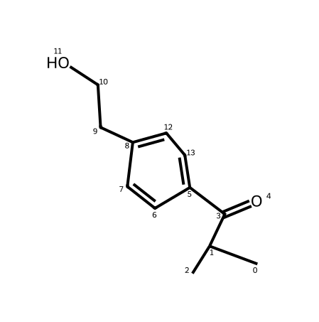 CC(C)C(=O)c1ccc(CCO)cc1